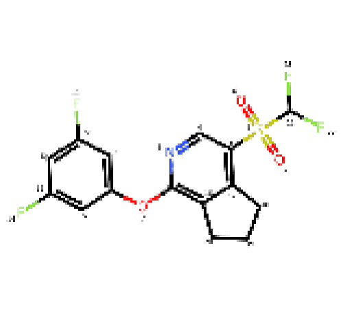 O=S(=O)(c1cnc(Oc2cc(F)cc(F)c2)c2c1CCC2)C(F)F